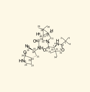 CC(C)(C)C(=O)N[C@H](C(=O)N1C[C@H]2[C@@H]([C@H]1C(=O)N[C@H](C#N)C[C@@H]1CCNC1=O)C2(C)C)C(C)(C)C